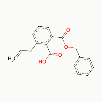 C=CCc1cccc(C(=O)OCc2ccccc2)c1C(=O)O